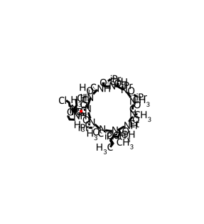 C/C=C/C[C@@H](C)[C@@H](O)[C@H]1C(=O)N[C@@H](CC)C(=O)N(C)CC(=O)N(C)[C@@H](CC(C)C)C(=O)N[C@@H](C(C)C)C(=O)N(C)[C@@H](CC(C)C)C(=O)N[C@@H](C)C(=O)N[C@H](C)C(=O)N(C)[C@@H](CC(C)C)C(=O)N(C)[C@@H](CC(C)C)C(=O)N(C)[C@@H](C(C)C)C(=O)N1C.O=P1(N(CCCl)CCCl)NCCCO1